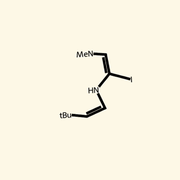 CN/C=C(/I)N/C=C\C(C)(C)C